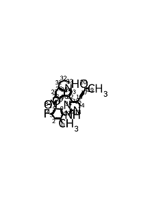 Cc1cc(F)c([N+](=O)[O-])cc1Nc1ncc(C#CC(C)O)c(-c2cn3c4c(cccc24)CCC3)n1